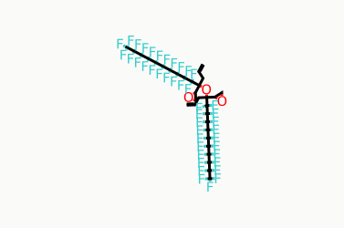 C=CCC(OC(CC=C)(C1CO1)C(F)(F)C(F)(F)C(F)(F)C(F)(F)C(F)(F)C(F)(F)C(F)(F)C(F)(F)C(F)(F)C(F)(F)F)(C1CO1)C(F)(F)C(F)(F)C(F)(F)C(F)(F)C(F)(F)C(F)(F)C(F)(F)C(F)(F)C(F)(F)C(F)(F)F